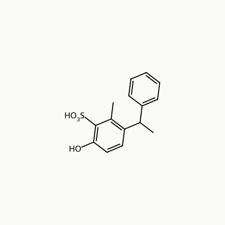 Cc1c(C(C)c2ccccc2)ccc(O)c1S(=O)(=O)O